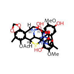 C=CCN1C2c3c(cc(C)c(OC)c3O)CC1[C@H](O)N1C2[C@@H]2SC[C@]3(NCCc4cc(O)c(OC)cc43)C(=O)OC[C@H]1c1c3c(c(C)c(OC(C)=O)c12)OCO3